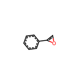 C1=C(c2ccccc2)O1